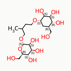 CC(CCO[C@H]1C[C@H](CO)[C@@H](O)[C@H](O)[C@@H]1O)CO[C@H]1O[C@H](CO)[C@@H](O)[C@H](O)[C@@H]1O